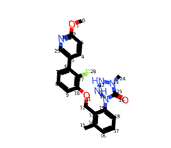 COc1ccc(-c2cccc(OCc3c(C)cccc3N3NNN(C)C3=O)c2F)cn1